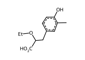 CCOC(Cc1ccc(O)c(C)c1)C(=O)O